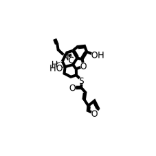 C=CCN1CC[C@]23c4c5ccc(O)c4OC2C(SC(=O)/C=C/c2ccoc2)CC[C@@]3(O)[C@H]1C5